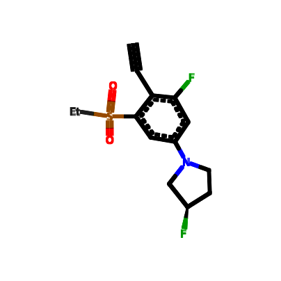 C#Cc1c(F)cc(N2CC[C@@H](F)C2)cc1S(=O)(=O)CC